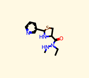 CCN(NC)C(=O)C1CSC(c2cccnc2)N1